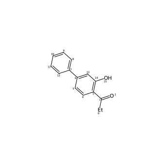 CCC(=O)c1ccc(-c2ccccc2)cc1O